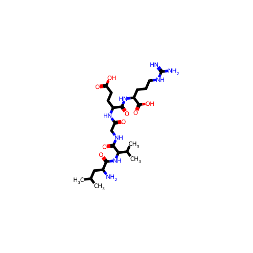 CC(C)CC(N)C(=O)NC(C(=O)NCC(=O)NC(CCC(=O)O)C(=O)NC(CCCNC(=N)N)C(=O)O)C(C)C